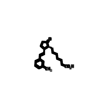 Cc1cccc(C=C[C@H]2CCC(=O)[C@@H]2CCCCCCC(=O)O)c1